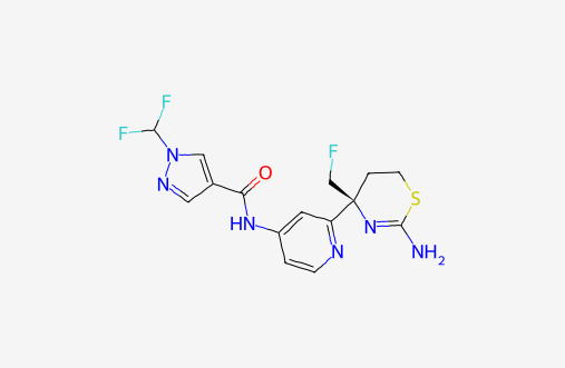 NC1=N[C@](CF)(c2cc(NC(=O)c3cnn(C(F)F)c3)ccn2)CCS1